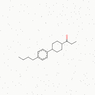 CCCCc1ccc(C2CCC(C(=O)CC)CC2)cc1